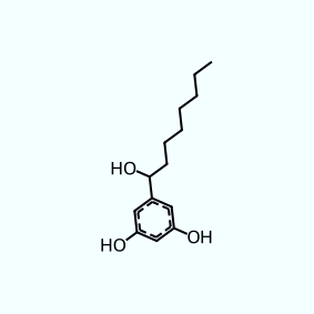 CCCCCCCC(O)c1cc(O)cc(O)c1